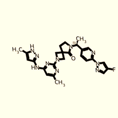 Cc1cc(Nc2cc(C)[nH]n2)nc(N2CC3(CCN([C@@H](C)c4ccc(-n5cc(F)cn5)nc4)C3=O)C2)n1